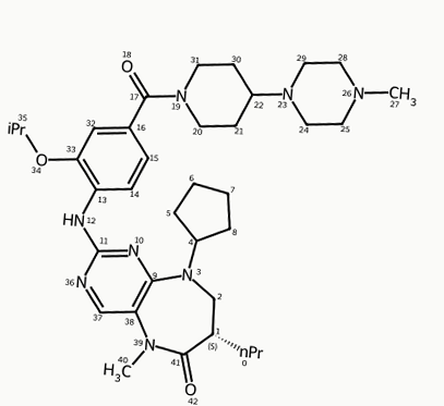 CCC[C@H]1CN(C2CCCC2)c2nc(Nc3ccc(C(=O)N4CCC(N5CCN(C)CC5)CC4)cc3OC(C)C)ncc2N(C)C1=O